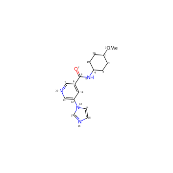 COC1CCC(NC(=O)c2cncc(-n3ccnc3)c2)CC1